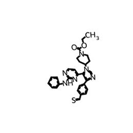 CCOC(=O)N1CCC(n2cnc(-c3ccc(C=S)cc3)c2-c2ccnc(Nc3ccccc3)n2)CC1